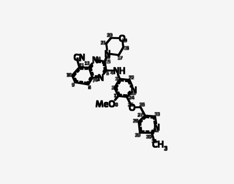 COc1cc(Nc2nc3cccc(C#N)c3nc2N2CCOCC2)cnc1OCc1ccc(C)nc1